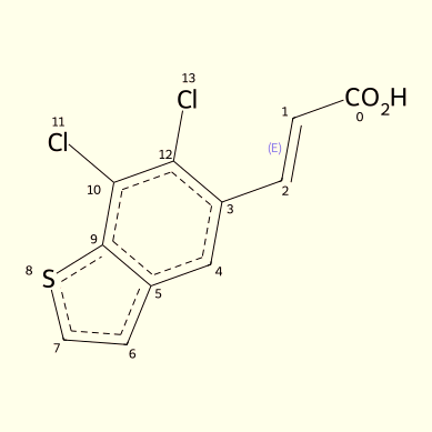 O=C(O)/C=C/c1cc2ccsc2c(Cl)c1Cl